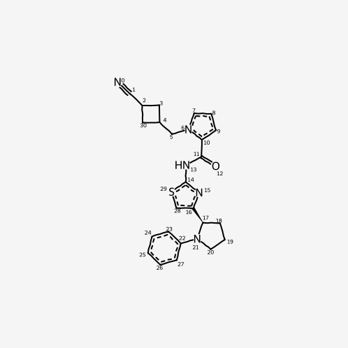 N#CC1CC(Cn2cccc2C(=O)Nc2nc([C@H]3CCCN3c3ccccc3)cs2)C1